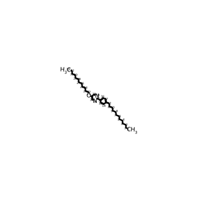 CCCCCCCCCCCCCc1ccc(-c2ncc(OCCCCCCCCCCCC)cn2)cc1